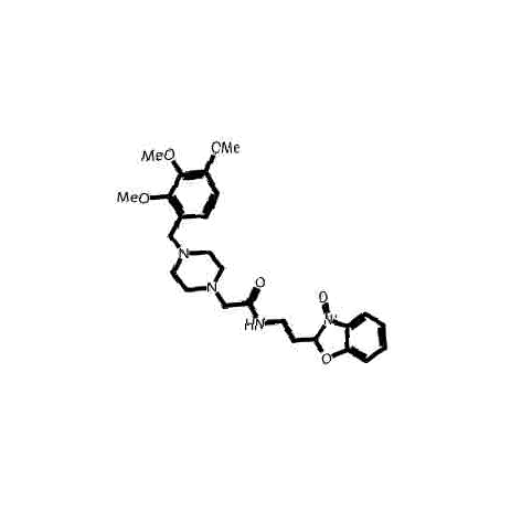 COc1ccc(CN2CCN(CC(=O)NCCC3Oc4ccccc4[N+]3=O)CC2)c(OC)c1OC